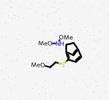 COCCSc1ccc2cc1CC2.CONOC